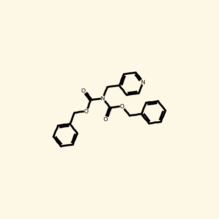 O=C(OCc1ccccc1)N(Cc1ccncc1)C(=O)OCc1ccccc1